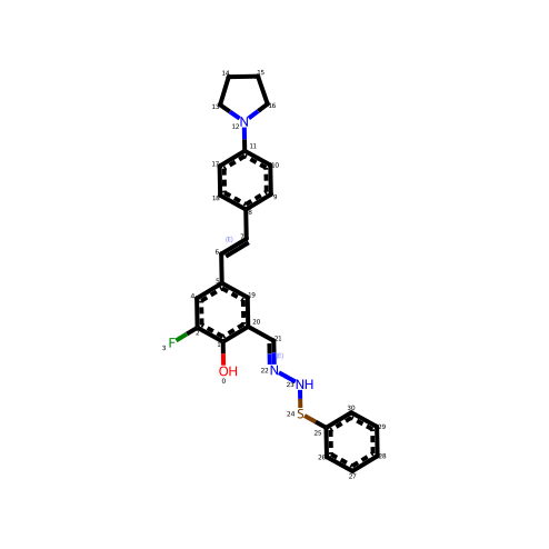 Oc1c(F)cc(/C=C/c2ccc(N3CCCC3)cc2)cc1/C=N/NSc1ccccc1